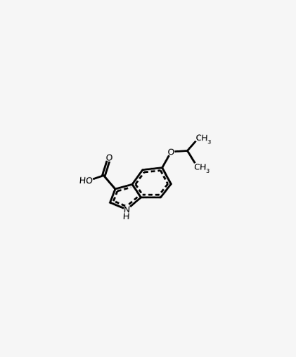 CC(C)Oc1ccc2[nH]cc(C(=O)O)c2c1